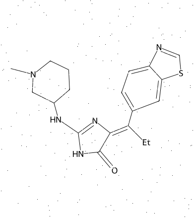 CC/C(=C1/N=C(NC2CCCN(C)C2)NC1=O)c1ccc2ncsc2c1